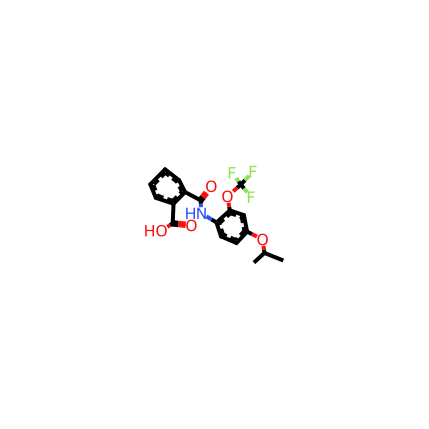 CC(C)Oc1ccc(NC(=O)c2ccccc2C(=O)O)c(OC(F)(F)F)c1